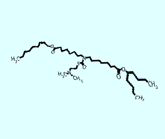 CCCCCC/C=C\COC(=O)CCCCCCCN(CCCCCCCC(=O)OC(CCCC)CCCC)C(=O)SCCN(C)C